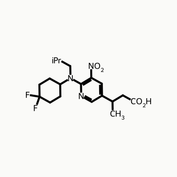 CC(C)CN(c1ncc(C(C)CC(=O)O)cc1[N+](=O)[O-])C1CCC(F)(F)CC1